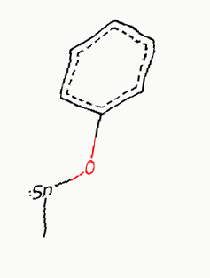 [CH3][Sn][O]c1ccccc1